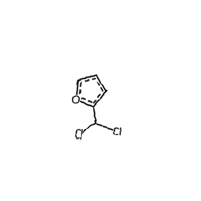 ClC(Cl)c1ccco1